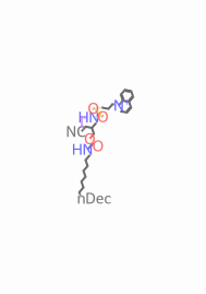 CCCCCCCCCCCCCCCCCCNC(=O)OCC(CC#N)CNS(=O)(=O)CCC[n+]1cccc2ccccc21.[I-]